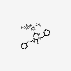 CN1[C@H](C(=O)O)[C@H]1C(=O)N[C@@H](Cc1ccccc1)C(=O)NCCc1ccccc1.[NaH]